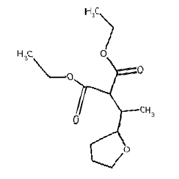 CCOC(=O)C(C(=O)OCC)C(C)C1CCCO1